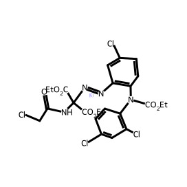 CCOC(=O)N(c1ccc(Cl)cc1Cl)c1ccc(Cl)cc1/N=N/C(NC(=O)CCl)(C(=O)OCC)C(=O)OCC